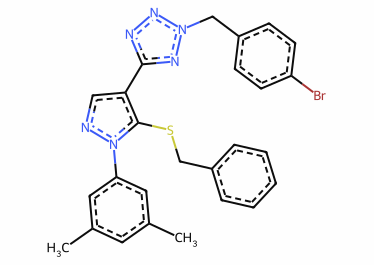 Cc1cc(C)cc(-n2ncc(-c3nnn(Cc4ccc(Br)cc4)n3)c2SCc2ccccc2)c1